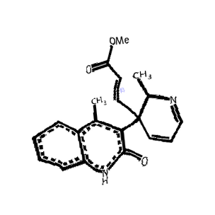 COC(=O)/C=C/C1(c2c(C)c3ccccc3[nH]c2=O)C=CC=NC1C